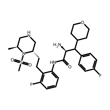 C[C@H]1CNC[C@H](CCc2c(F)cccc2NC(=O)[C@@H](N)C(c2ccc(F)cc2)C2CCOCC2)N1S(C)(=O)=O